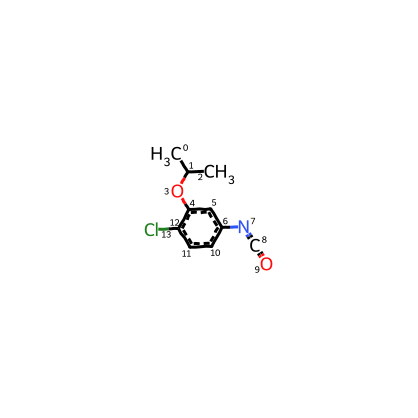 CC(C)Oc1cc(N=C=O)ccc1Cl